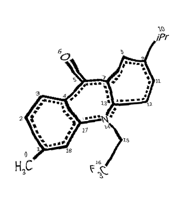 Cc1ccc2c(=O)c3cc(C(C)C)ccc3n(CC(F)(F)F)c2c1